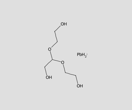 OCCOC(CO)OCCO.[PbH2]